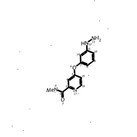 CNC(=O)c1cc(Oc2cccc(NN)c2)ccn1